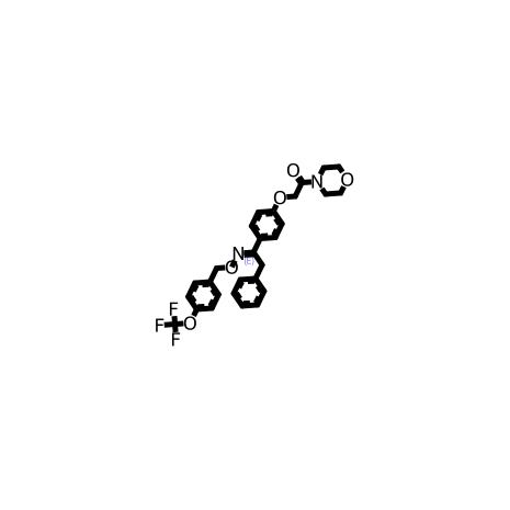 O=C(COc1ccc(/C(Cc2ccccc2)=N/OCc2ccc(OC(F)(F)F)cc2)cc1)N1CCOCC1